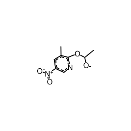 COC(C)Oc1ncc([N+](=O)[O-])cc1C